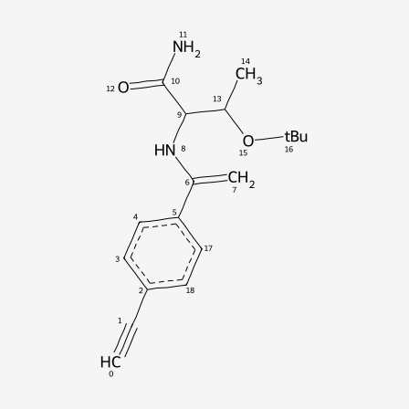 C#Cc1ccc(C(=C)NC(C(N)=O)C(C)OC(C)(C)C)cc1